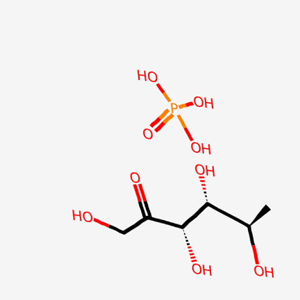 C[C@@H](O)[C@@H](O)[C@H](O)C(=O)CO.O=P(O)(O)O